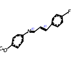 COc1ccc(/N=C/C=C/c2ccc(F)cc2)cc1